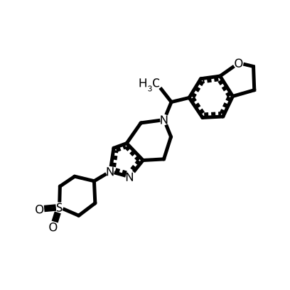 CC(c1ccc2c(c1)OCC2)N1CCc2nn(C3CCS(=O)(=O)CC3)cc2C1